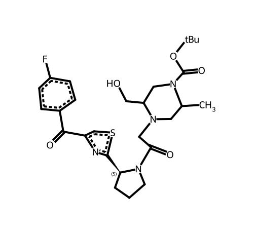 CC1CN(CC(=O)N2CCC[C@H]2c2nc(C(=O)c3ccc(F)cc3)cs2)C(CO)CN1C(=O)OC(C)(C)C